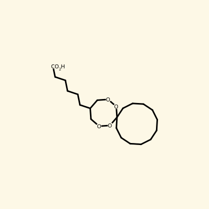 O=C(O)CCCCCC1COOC2(CCCCCCCCCCC2)OOC1